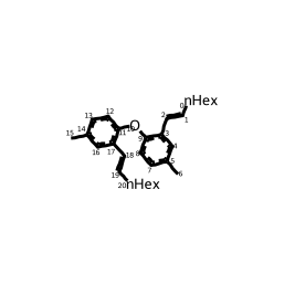 CCCCCCC=Cc1cc(C)ccc1Oc1ccc(C)cc1C=CCCCCCC